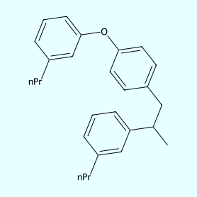 CCCc1cccc(Oc2ccc(CC(C)c3cccc(CCC)c3)cc2)c1